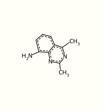 Cc1nc(C)c2cccc(N)c2n1